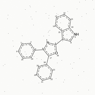 c1ccc(-c2nc(-c3c[nH]c4ccccc34)oc2-c2ccccc2)cc1